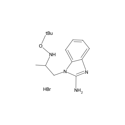 Br.CC(Cn1c(N)nc2ccccc21)NOC(C)(C)C